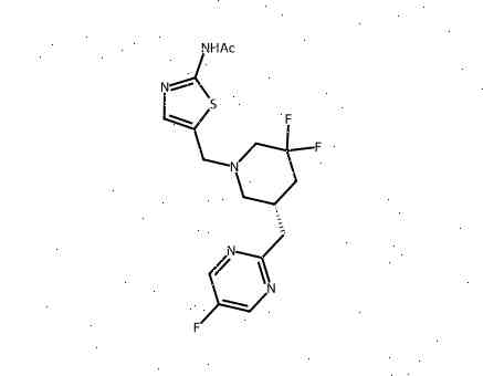 CC(=O)Nc1ncc(CN2C[C@@H](Cc3ncc(F)cn3)CC(F)(F)C2)s1